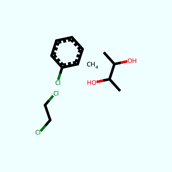 C.CC(O)C(C)O.ClCCCl.Clc1ccccc1